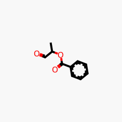 CC(C=O)OC(=O)c1ccccc1